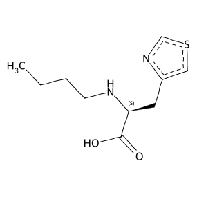 CCCCN[C@@H](Cc1cscn1)C(=O)O